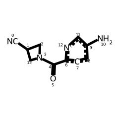 N#CC1CN(C(=O)c2ccc(N)cn2)C1